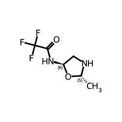 C[C@H]1NC[C@H](NC(=O)C(F)(F)F)O1